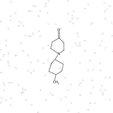 CC1CCC(N2CCC(=O)CC2)CC1